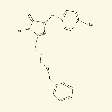 CCn1c(CCCOCc2ccccc2)nn(Cc2ccc(C(C)(C)C)cc2)c1=O